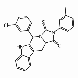 Cc1cccc(N2C(=O)C3Cc4c([nH]c5ccccc45)C(c4cccc(Cl)c4)N3C2=S)c1